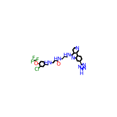 O=C(C=CNCc1ccc(OC(F)(F)F)c(Cl)c1)NCCCNc1nc2cc(-c3nn[nH]n3)ccc2c2cnccc12